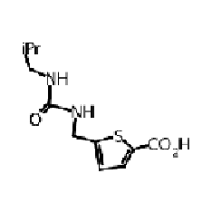 CC(C)CNC(=O)NCc1ccc(C(=O)O)s1